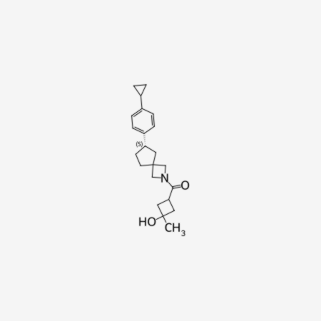 CC1(O)CC(C(=O)N2CC3(CC[C@H](c4ccc(C5CC5)cc4)C3)C2)C1